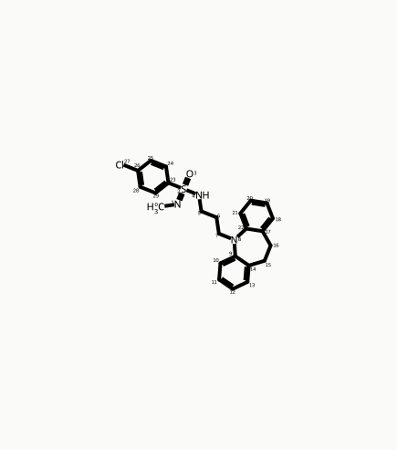 CN=S(=O)(NCCCN1c2ccccc2CCc2ccccc21)c1ccc(Cl)cc1